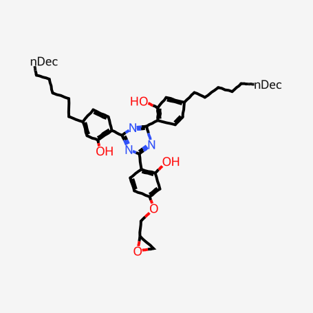 CCCCCCCCCCCCCCCc1ccc(-c2nc(-c3ccc(CCCCCCCCCCCCCCC)cc3O)nc(-c3ccc(OCC4CO4)cc3O)n2)c(O)c1